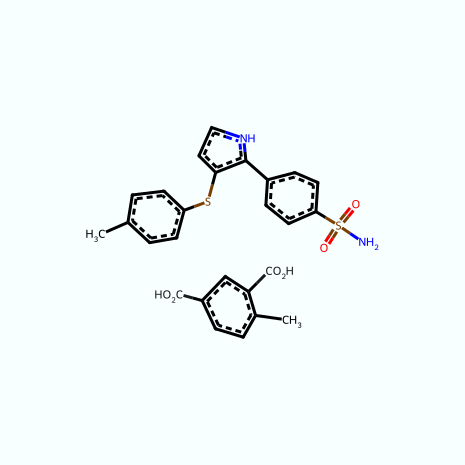 Cc1ccc(C(=O)O)cc1C(=O)O.Cc1ccc(Sc2cc[nH]c2-c2ccc(S(N)(=O)=O)cc2)cc1